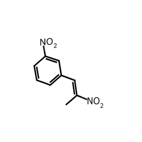 C/C(=C\c1cccc([N+](=O)[O-])c1)[N+](=O)[O-]